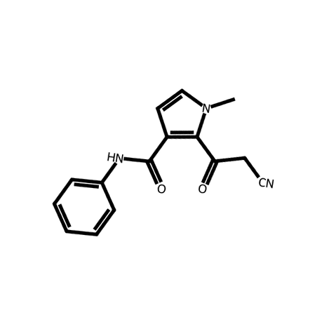 Cn1ccc(C(=O)Nc2ccccc2)c1C(=O)CC#N